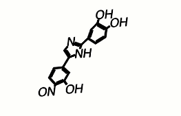 O=Nc1ccc(-c2cnc(-c3ccc(O)c(O)c3)[nH]2)cc1O